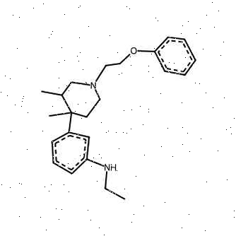 CCNc1cccc(C2(C)CCN(CCOc3ccccc3)CC2C)c1